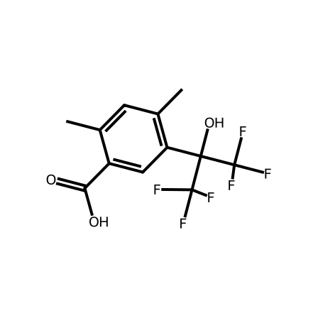 Cc1cc(C)c(C(O)(C(F)(F)F)C(F)(F)F)cc1C(=O)O